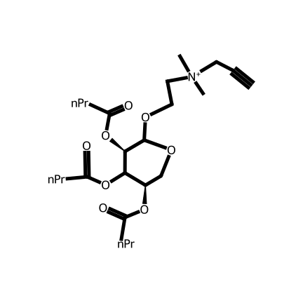 C#CC[N+](C)(C)CCOC1OC[C@@H](OC(=O)CCC)C(OC(=O)CCC)[C@H]1OC(=O)CCC